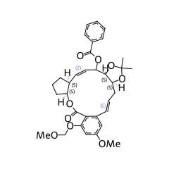 COCOc1cc(OC)cc2c1C(=O)O[C@H]1CCC[C@H]1/C=C\C(OC(=O)c1ccccc1)[C@H]1OC(C)(C)O[C@H]1C/C=C/2